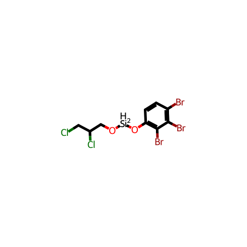 ClCC(Cl)CO[SiH2]Oc1ccc(Br)c(Br)c1Br